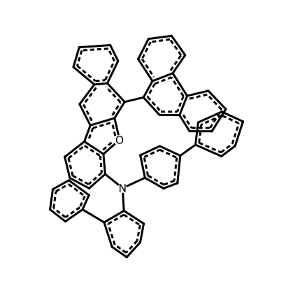 c1ccc(-c2ccc(N(c3ccccc3-c3ccccc3)c3cccc4c3oc3c(-c5cc6ccccc6c6ccccc56)c5ccccc5cc34)cc2)cc1